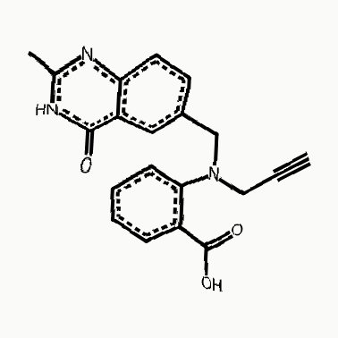 C#CCN(Cc1ccc2nc(C)[nH]c(=O)c2c1)c1ccccc1C(=O)O